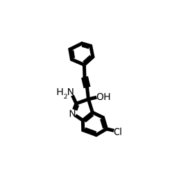 NC1=Nc2ccc(Cl)cc2C1(O)C#Cc1ccccc1